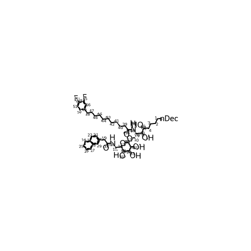 CCCCCCCCCCCCCC[C@@H](O)[C@@H](O)[C@H](CO[C@H]1OC(CNC(=O)Cc2ccc3ccccc3c2)[C@H](O)[C@H](O)C1O)NC(=O)CCCCCCCCCCc1ccc(F)c(F)c1